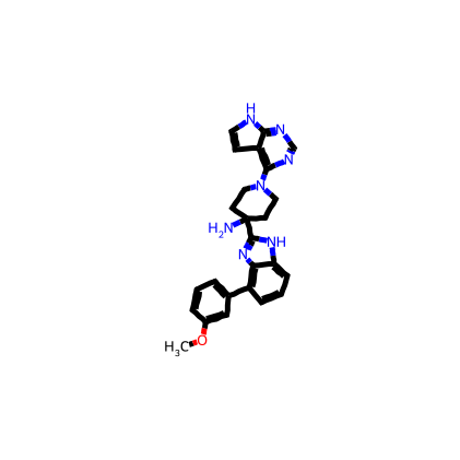 COc1cccc(-c2cccc3[nH]c(C4(N)CCN(c5ncnc6[nH]ccc56)CC4)nc23)c1